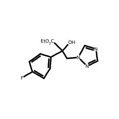 CCOC(=O)C(O)(Cn1cncn1)c1ccc(F)cc1